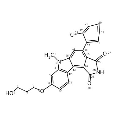 Cn1c2cc(OCCCO)ccc2c2c3c(c(-c4ccccc4Cl)cc21)C(=O)NC3=O